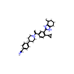 C=C(c1ccc(C2CC2)c(-c2nc3c([nH]2)CCCC3C)c1)N1CCC(c2ccc(C#N)cc2)CC1